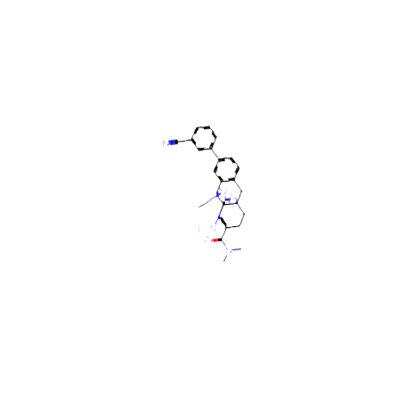 CN(C)C(=O)C1=CC2C3c4cc(-c5cccc(C#N)c5)ccc4CC2(CC1)N=C(N)N3C